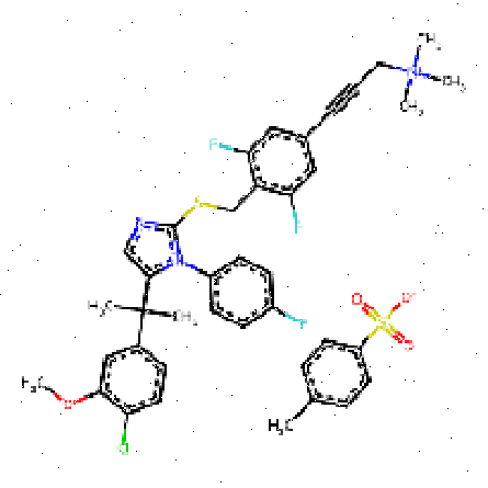 COc1cc(C(C)(C)c2cnc(SCc3c(F)cc(C#CC[N+](C)(C)C)cc3F)n2-c2ccc(F)cc2)ccc1Cl.Cc1ccc(S(=O)(=O)[O-])cc1